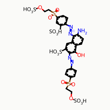 Nc1ccc2c(O)c(N=Nc3ccc(S(=O)(=O)CCOS(=O)(=O)O)cc3)c(S(=O)(=O)O)cc2c1/N=N/c1ccc(S(=O)(=O)CCOS(=O)(=O)O)cc1S(=O)(=O)O